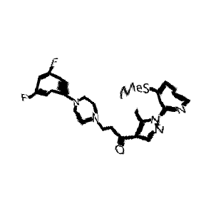 CSc1cccnc1-n1ncc(C(=O)CCN2CCN(c3cc(F)cc(F)c3)CC2)c1C